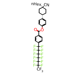 CCCCCC[C@]1(C#N)CC[C@H](c2ccc(OC(=O)c3ccc(C(F)(F)C(F)(F)C(F)(F)C(F)(F)C(F)(F)C(F)(F)C(F)(F)F)cc3)cc2)CC1